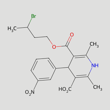 CC1=C(C(=O)O)C(c2cccc([N+](=O)[O-])c2)C(C(=O)OCCC(C)Br)=C(C)N1